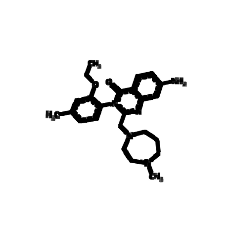 CCOc1cc(C)ccc1-n1c(CN2CCCN(C)CC2)nc2cc(N)ccc2c1=O